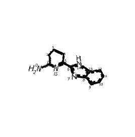 NC1CC=CC(c2nc3ccccc3[nH]2)=N1